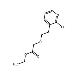 CCOC(=O)COCCc1cccnc1Cl